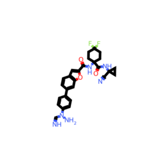 N#CC1(NC(=O)C2(NC(=O)c3cc4ccc(-c5ccc(N(N)C=N)cc5)cc4o3)CCC(F)(F)CC2)CC1